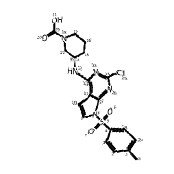 Cc1ccc(S(=O)(=O)n2ccc3c(N[C@@H]4CCCN(C(=O)O)C4)nc(Cl)nc32)cc1